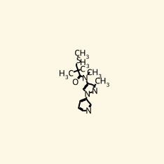 CSCC(C)(C)C(=O)N(C)c1cn(-c2cccnc2)nc1C